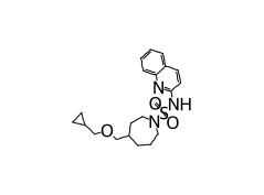 O=S(=O)(Nc1ccc2ccccc2n1)N1CCCC(COCC2CC2)CC1